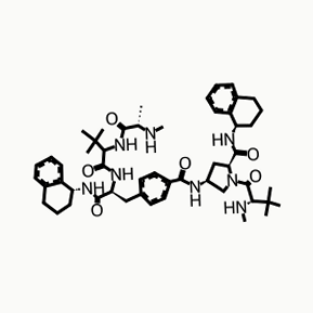 CN[C@@H](C)C(=O)NC(C(=O)N[C@@H](Cc1ccc(C(=O)N[C@H]2C[C@@H](C(=O)N[C@@H]3CCCc4ccccc43)N(C(=O)[C@@H](NC)C(C)(C)C)C2)cc1)C(=O)N[C@@H]1CCCc2ccccc21)C(C)(C)C